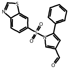 O=Cc1cc(-c2ccccc2)n(S(=O)(=O)c2ccc3ncsc3c2)c1